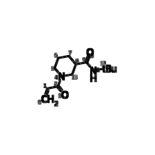 C=CC(=O)N1CCCC(C(=O)NC(C)(C)C)C1